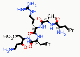 CC(C)C[C@H](NC(=O)[C@H](CCCNC(=N)N)NC(=O)[C@H](C)NC(=O)[C@@H](N)CC(C)C)C(=O)NC(CC(=O)O)C(=O)CCN